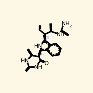 C=C/C(C(=C)NC(=C)N)=c1\[nH]/c(=C2\C(=C)NC(=C)NC2=O)c2ccccc12